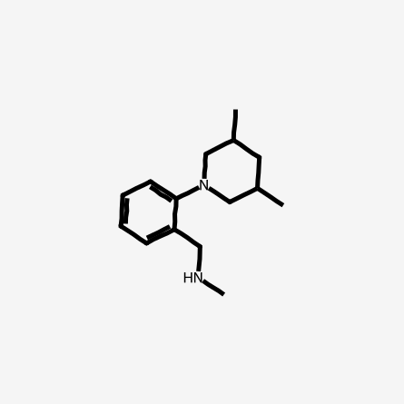 CNCc1ccccc1N1CC(C)CC(C)C1